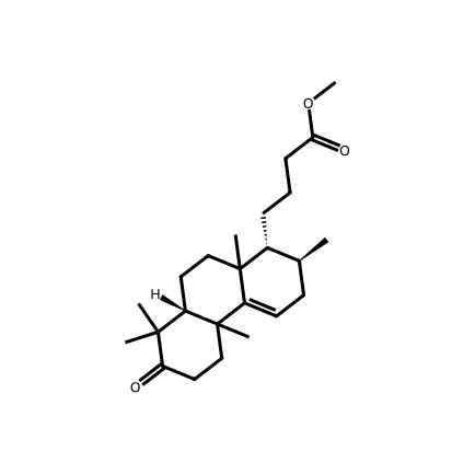 COC(=O)CCC[C@@H]1[C@@H](C)CC=C2C1(C)CC[C@H]1C(C)(C)C(=O)CCC21C